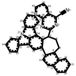 N#Cc1nc(C2CCc3c(ccc4ccccc34)-c3cc4c5ccccc5n5c6ccccc6c(c32)c45)nc2ncccc12